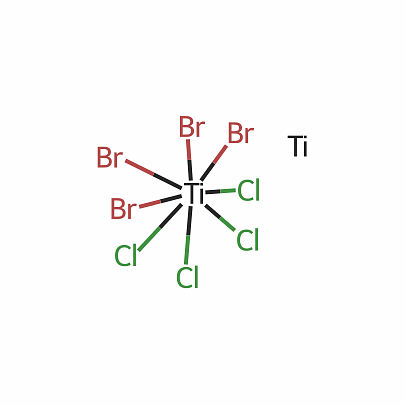 [Cl][Ti]([Cl])([Cl])([Cl])([Br])([Br])([Br])[Br].[Ti]